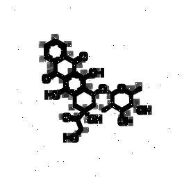 C[C@H]1[C@H](O[C@H]2C[C@](O)(C(=O)CO)Cc3c(O)c4c(c(O)c32)C(=O)c2ccccc2C4=O)O[C@@H](C)[C@H](O)[C@H]1O